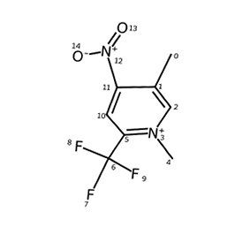 Cc1c[n+](C)c(C(F)(F)F)cc1[N+](=O)[O-]